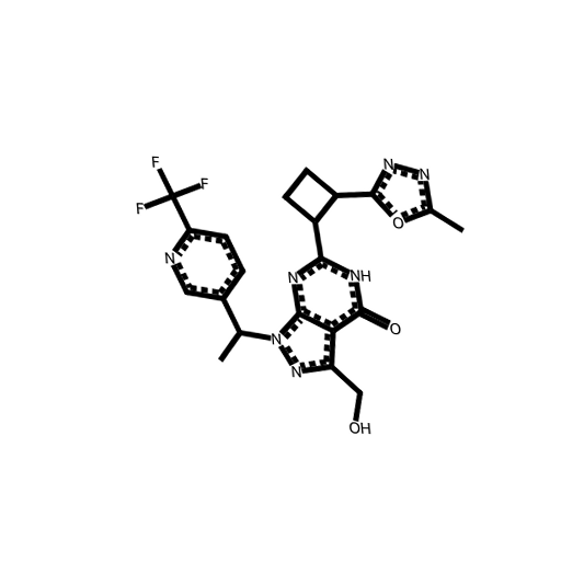 Cc1nnc(C2CCC2c2nc3c(c(CO)nn3C(C)c3ccc(C(F)(F)F)nc3)c(=O)[nH]2)o1